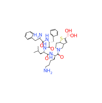 CC(C)C[C@@H](NC(=O)[C@@H](Cc1ccccc1)NC(=O)[C@H](N)Cc1ccccc1)C(=O)N[C@H](CCCCN)C(=O)N1CCC2SC(B(O)O)=CC2C1